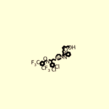 CN(CC(CCN1CCCN(c2nc3ccccc3n2Cc2ccc(CO)o2)CC1)c1ccc(Cl)c(Cl)c1)C(=O)c1cc(C(F)(F)F)cc(C(F)(F)F)c1